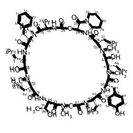 CC(C)C[C@@H]1NC(=O)[C@H](Cc2ccccc2)N(C)C(=O)[C@@H](C(C)C)NC(=O)C[C@@H](C(=O)N2CCCCC2)NC(=O)[C@H](CC(C)C)N(C)C(O)[C@H](CC(C)C)N(C)C(=O)[C@H](Cc2ccc(O)cc2)NC(=O)[C@H](CC(C)C)N(C)C(=O)CN(C)C(=O)[C@H]([C@@H](C)O)NC(=O)[C@H](CC(C)C)N(C)C1O